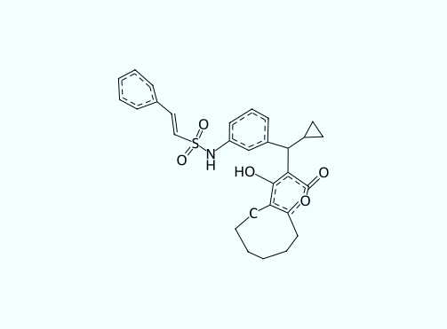 O=c1oc2c(c(O)c1C(c1cccc(NS(=O)(=O)C=Cc3ccccc3)c1)C1CC1)CCCCCC2